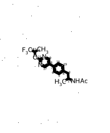 CC(=O)NC(C)Cc1ccc(-c2cnc(OC(C)C(F)(F)F)nc2)cc1